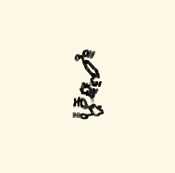 O=C(O)c1cccc(CNc2nccn3c([C@@H]4SC[C@@H](O)[C@H]4O)cnc23)c1